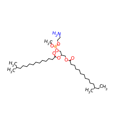 CCC(C)CCCCCCCCCCC(=O)OCC(COP(OC)OCCN)OC(=O)CCCCCCCCCCCC(C)C